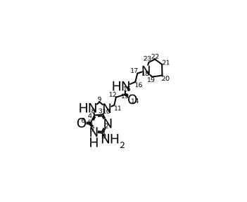 Nc1nc2c(c(=O)[nH]1)NCN2CCC(=O)NCCN1CCCCC1